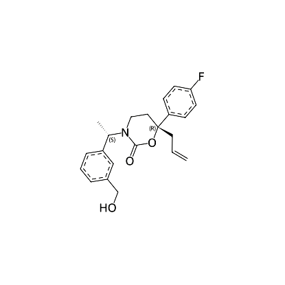 C=CC[C@]1(c2ccc(F)cc2)CCN([C@@H](C)c2cccc(CO)c2)C(=O)O1